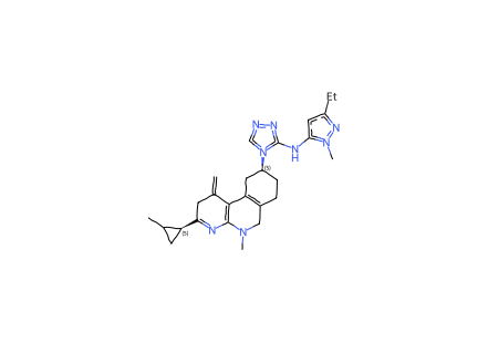 C=C1CC([C@H]2CC2C)=NC2=C1C1=C(CC[C@H](n3cnnc3Nc3cc(CC)nn3C)C1)CN2C